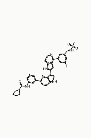 CS(=O)(=O)NCc1cc(F)cc(-c2nccc3[nH]c(-c4n[nH]c5ccc(-c6cncc(NC(=O)C7CCCC7)c6)nc45)cc23)c1